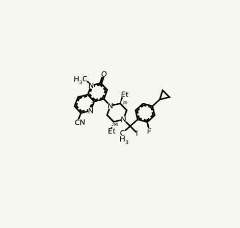 CC[C@H]1CN(C(C)(I)c2ccc(C3CC3)cc2F)[C@H](CC)CN1c1cc(=O)n(C)c2ccc(C#N)nc12